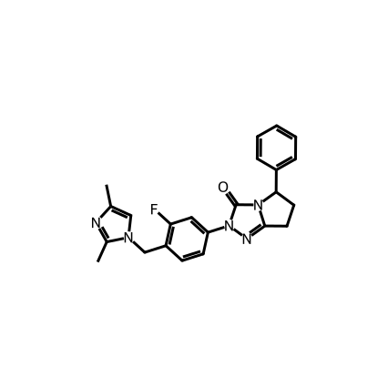 Cc1cn(Cc2ccc(-n3nc4n(c3=O)C(c3ccccc3)CC4)cc2F)c(C)n1